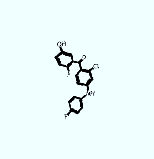 O=C(c1cc(O)ccc1F)c1ccc(Nc2ccc(F)cc2)cc1Cl